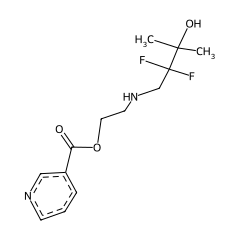 CC(C)(O)C(F)(F)CNCCOC(=O)c1cccnc1